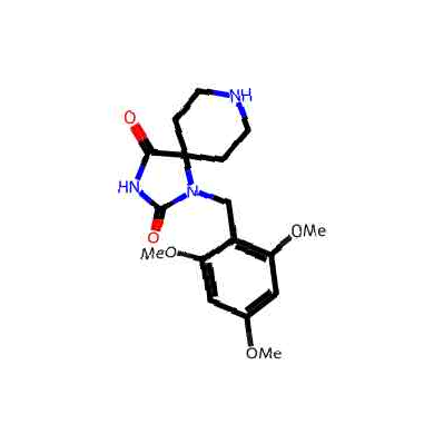 COc1cc(OC)c(CN2C(=O)NC(=O)C23CCNCC3)c(OC)c1